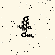 Nc1ccccc1CNC(=O)c1nc2ccccc2nc1N